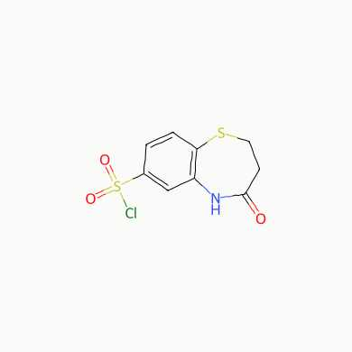 O=C1CCSc2ccc(S(=O)(=O)Cl)cc2N1